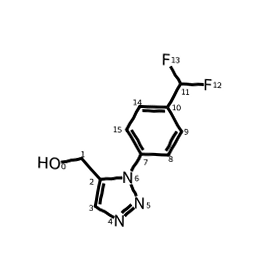 OCc1cnnn1-c1ccc(C(F)F)cc1